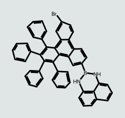 Brc1ccc2c3ccc(B4Nc5cccc6cccc(c56)N4)cc3c3c(-c4ccccc4)c(-c4ccccc4)c(-c4ccccc4)c(-c4ccccc4)c3c2c1